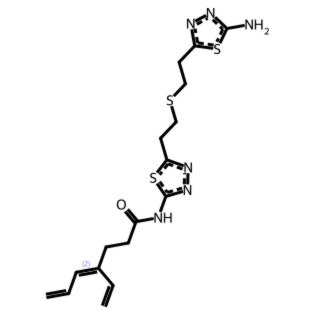 C=C/C=C(\C=C)CCC(=O)Nc1nnc(CCSCCc2nnc(N)s2)s1